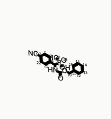 N#Cc1ccc(C(NC(=O)OCc2ccccc2)P(=O)(O)O)cc1